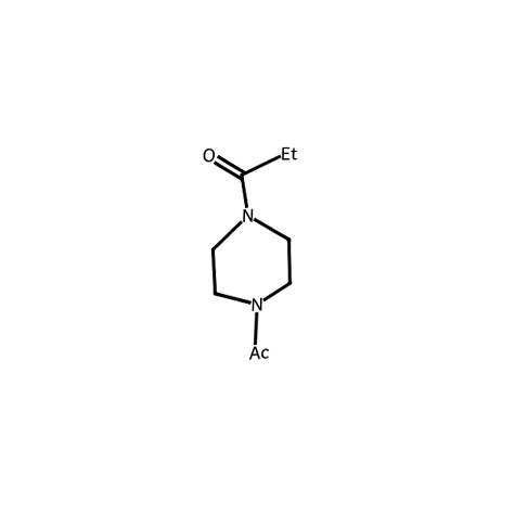 [CH2]CC(=O)N1CCN(C(C)=O)CC1